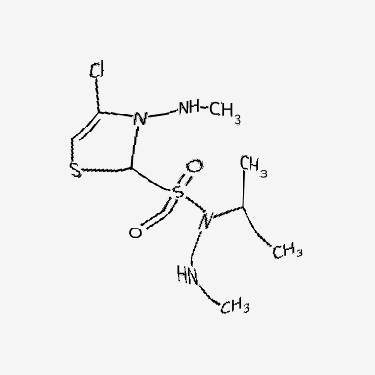 CNN1C(Cl)=CSC1S(=O)(=O)N(NC)C(C)C